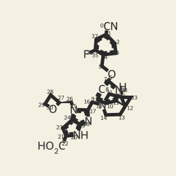 N#Cc1ccc(COc2cccc([C@@]34CCN(Cc5nc6[nH]c(C(=O)O)cc6n5C[C@@H]5CCO5)C[C@@H]3C4)n2)c(F)c1